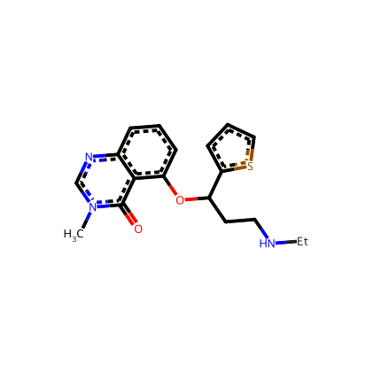 CCNCCC(Oc1cccc2ncn(C)c(=O)c12)c1cccs1